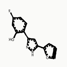 Oc1cc(F)ccc1-c1cc(-c2cc#co2)[nH]n1